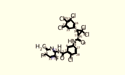 C=C/N=C(NC(=O)c1cc(NC(=O)[C@H]2[C@H](c3cc(Cl)c(Cl)c(Cl)c3)C2(Cl)Cl)ccc1Cl)\C(F)=C/CF